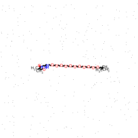 CC(C)C1CC(=O)N(Cc2cn(CCOCCOCCOCCOCCOCCOCCOCCOCCOCCOCCOCCC(C)(C)C)nn2)C1=O